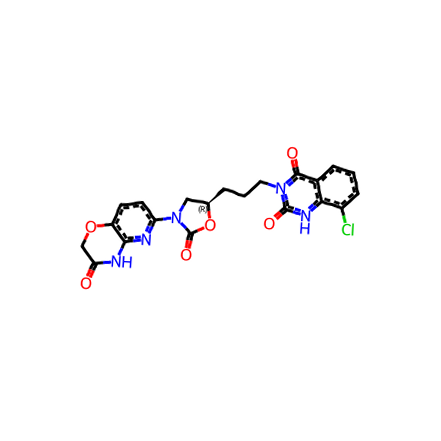 O=C1COc2ccc(N3C[C@@H](CCCn4c(=O)[nH]c5c(Cl)cccc5c4=O)OC3=O)nc2N1